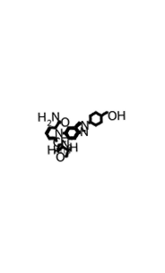 NC(=O)C1C=CC=C(C(F)(F)F)N1c1cc2cn(C3CCC(CO)CC3)nc2cc1N1C[C@@H]2C[C@H]1CO2